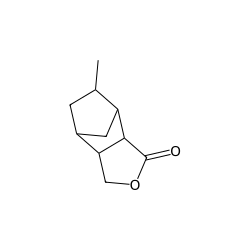 CC1CC2CC1C1C(=O)OCC21